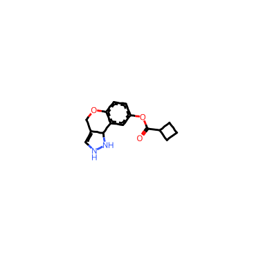 O=C(Oc1ccc2c(c1)C1NNC=C1CO2)C1CCC1